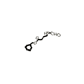 O=CNCCCC(=O)OCc1ccccc1